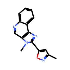 Cc1cc(-c2nc3c4ccccc4ncc3n2C)on1